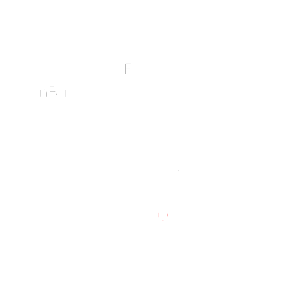 CCCCC(CC)CC1CCCCC1=O